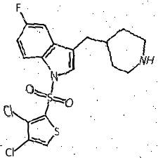 O=S(=O)(c1scc(Cl)c1Cl)n1cc(CC2CCNCC2)c2cc(F)ccc21